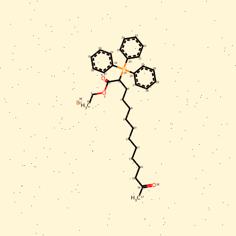 CCOC(=O)C(CCCCCCCCCCC(C)=O)[P+](c1ccccc1)(c1ccccc1)c1ccccc1.[Br-]